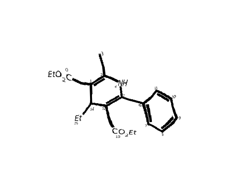 CCOC(=O)C1=C(C)NC(c2ccccc2)=C(C(=O)OCC)C1CC